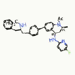 CC(=O)N1c2ccc(-c3ccc(CC(Cc4ccccc4)NC(=O)O)cc3)cc2[C@H](Nc2ccc(F)cn2)C[C@@H]1C